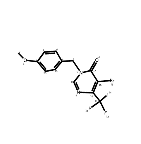 COc1ccc(Cn2cnc(C(F)(F)I)c(Br)c2=O)cc1